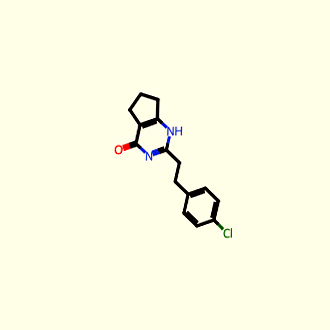 O=c1nc(CCc2ccc(Cl)cc2)[nH]c2c1CCC2